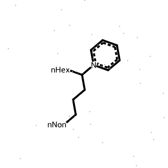 CCCCCCCCCCCCC(CCCCCC)[n+]1ccccc1